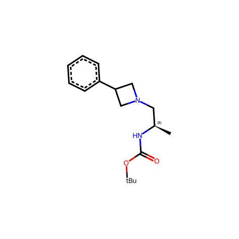 C[C@H](CN1CC(c2ccccc2)C1)NC(=O)OC(C)(C)C